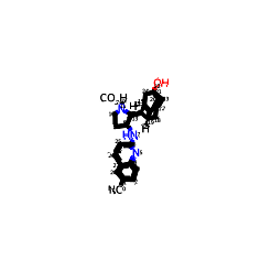 N#Cc1ccc2nc(NC3CCN(C(=O)O)C3C3[C@@H]4CC5C[C@H]3CC(O)(C5)C4)ccc2c1